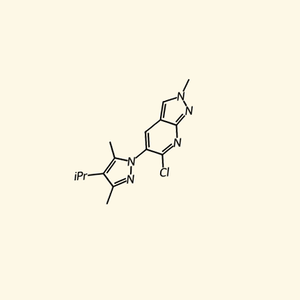 Cc1nn(-c2cc3cn(C)nc3nc2Cl)c(C)c1C(C)C